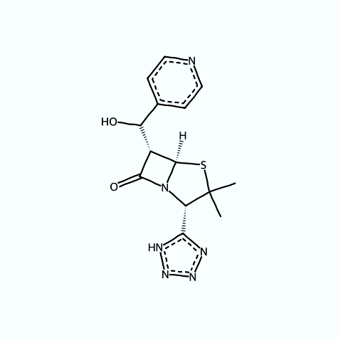 CC1(C)S[C@@H]2[C@@H](C(O)c3ccncc3)C(=O)N2[C@H]1c1nnn[nH]1